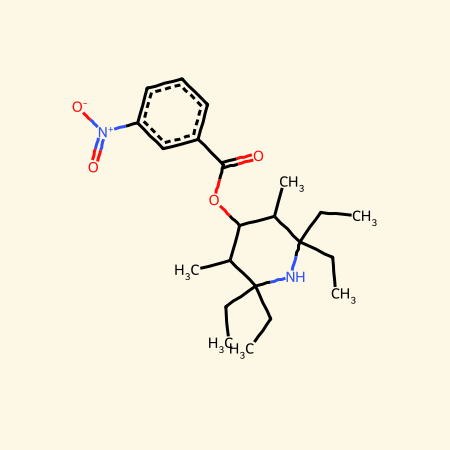 CCC1(CC)NC(CC)(CC)C(C)C(OC(=O)c2cccc([N+](=O)[O-])c2)C1C